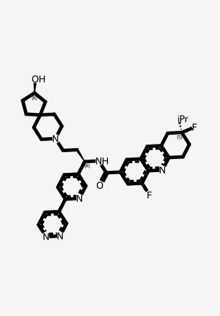 CC(C)[C@]1(F)CCc2nc3c(F)cc(C(=O)N[C@H](CCN4CCC5(CC[C@@H](O)C5)CC4)c4ccc(-c5ccnnc5)nc4)cc3cc2C1